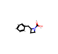 O=C(O)N1CCC1Cc1ccccc1